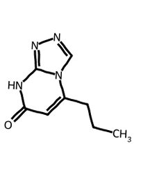 CCCc1cc(=O)[nH]c2nncn12